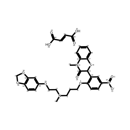 CN(CCCOc1ccc([N+](=O)[O-])cc1C1Sc2ccccc2N(C)C1=O)CCOc1ccc2c(c1)OCO2.O=C(O)C=CC(=O)O